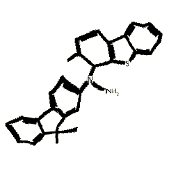 CC1C=Cc2c(sc3ccccc23)C1N(N)c1ccc2c(c1)C(C)(C)c1ccccc1-2